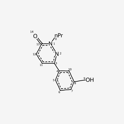 CCCn1nc(-c2cccc(O)c2)ccc1=O